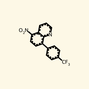 O=[N+]([O-])c1ccc(-c2ccc(C(F)(F)F)cc2)c2ncccc12